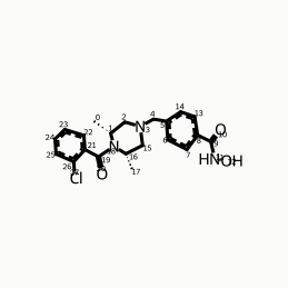 C[C@@H]1CN(Cc2ccc(C(=O)NO)cc2)C[C@H](C)N1C(=O)c1ccccc1Cl